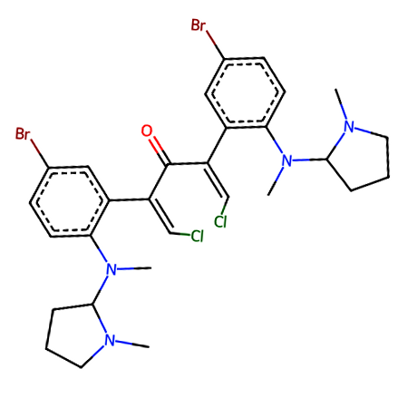 CN1CCCC1N(C)c1ccc(Br)cc1C(=CCl)C(=O)C(=CCl)c1cc(Br)ccc1N(C)C1CCCN1C